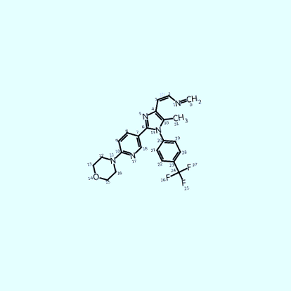 C=N/C=C\c1nc(-c2ccc(N3CCOCC3)nc2)n(-c2ccc(C(F)(F)F)cc2)c1C